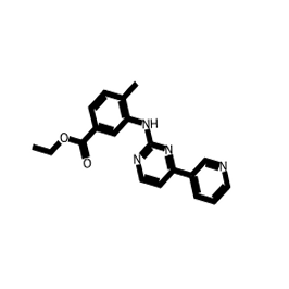 CCOC(=O)c1ccc(C)c(Nc2nccc(-c3cccnc3)n2)c1